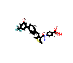 COc1cc(-c2ccc(Cc3c(C)sc(C)c3C(=O)NC3CCC(C(=O)O)CC3)cc2)cc(C(F)(F)F)c1